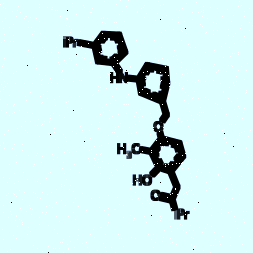 Cc1c(OCc2cccc(Nc3cccc(C(C)C)c3)c2)ccc(CC(=O)C(C)C)c1O